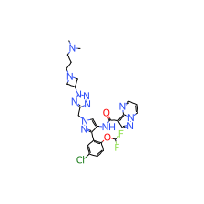 CN(C)CCCN1CC(n2nnc(Cn3cc(NC(=O)c4cnn5cccnc45)c(-c4cc(Cl)ccc4OC(F)F)n3)n2)C1